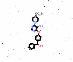 CCOC(=O)C1CCN(c2ncnc(Oc3ccc(C(O)c4ccccc4)cc3)c2N)CC1